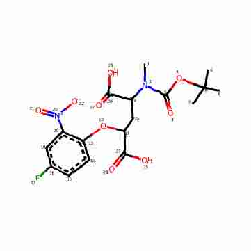 CN(C(=O)OC(C)(C)C)C(CC(Oc1ccc(F)cc1[N+](=O)[O-])C(=O)O)C(=O)O